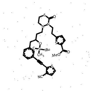 COC(=O)c1ccc(CCN2C(=O)SCCN2CCC(Cc2cccc(C#Cc3sccc3C#N)c2)O[Si](C)(C)C(C)(C)C)s1